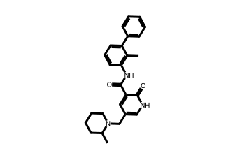 Cc1c(NC(=O)c2cc(CN3CCCCC3C)c[nH]c2=O)cccc1-c1ccccc1